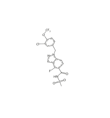 CS(=O)(=O)NC(=O)c1ccc2c(cnn2Cc2ccc(OC(F)(F)F)c(Cl)c2)c1F